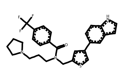 O=C(c1ccc(C(F)(F)F)cc1)N(CCCN1CCCC1)Cc1cc(-c2ccc3[nH]ccc3c2)cs1